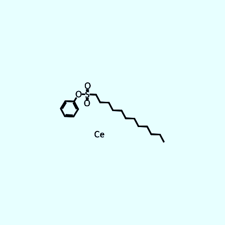 CCCCCCCCCCCCS(=O)(=O)Oc1ccccc1.[Ce]